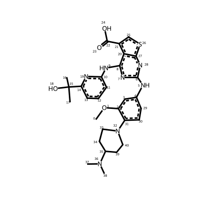 COc1cc(Nc2nc(Nc3cccc(C(C)(C)O)n3)c3c(C(=O)O)csc3n2)ccc1N1CCC(N(C)C)CC1